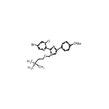 COc1ccc(-c2cn(COCC[Si](C)(C)C)c(-c3ncc(Br)cc3Cl)n2)cc1